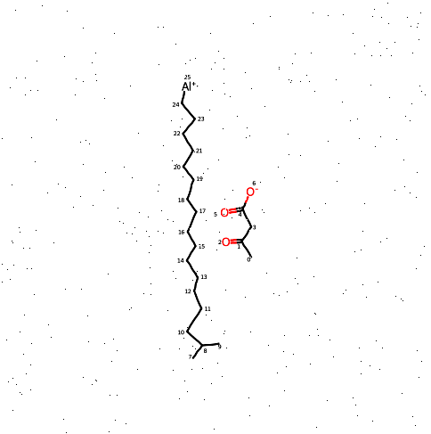 CC(=O)CC(=O)[O-].CC(C)CCCCCCCCCCCCCC[CH2][Al+]